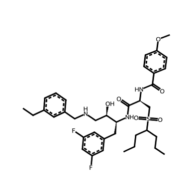 CCCC(CCC)S(=O)(=O)C[C@H](NC(=O)c1ccc(OC)cc1)C(=O)N[C@@H](Cc1cc(F)cc(F)c1)[C@H](O)CNCc1cccc(CC)c1